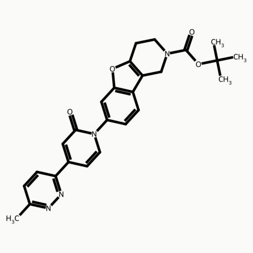 Cc1ccc(-c2ccn(-c3ccc4c5c(oc4c3)CCN(C(=O)OC(C)(C)C)C5)c(=O)c2)nn1